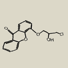 O=c1c2ccccc2oc2c(OCC(O)CCl)cccc12